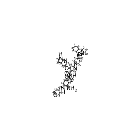 CC(C)c1ccccc1[C@@H]1CCCN1C1CC2(CCN(c3cc(Oc4cnc5[nH]ccc5c4)c(C(=O)NS(=O)(=O)c4ccc(NCC5CCOCC5)c(N)c4)cn3)CC2)C1